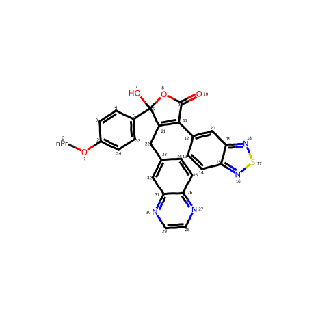 CCCOc1ccc(C2(O)OC(=O)C(c3ccc4nsnc4c3)=C2Cc2ccc3nccnc3c2)cc1